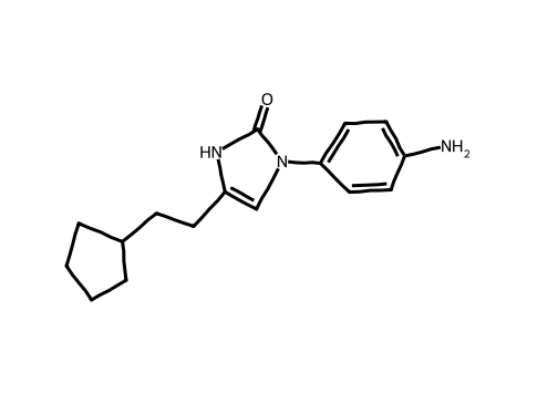 Nc1ccc(-n2cc(CCC3CCCC3)[nH]c2=O)cc1